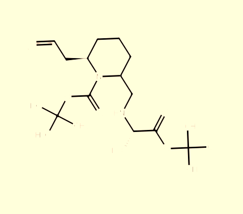 C=CC[C@H]1CCCC(CN[C@@H](C)C(=O)OC(C)(C)C)N1C(=O)OC(C)(C)C